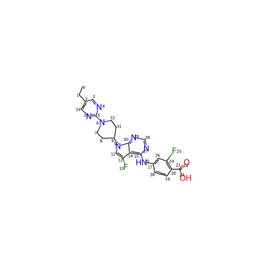 CCc1cnc(N2CCC(n3cc(F)c4c(Nc5ccc(C(=O)O)c(F)c5)ncnc43)CC2)nc1